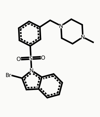 CN1CCN(Cc2cccc(S(=O)(=O)n3c(Br)cc4ccccc43)c2)CC1